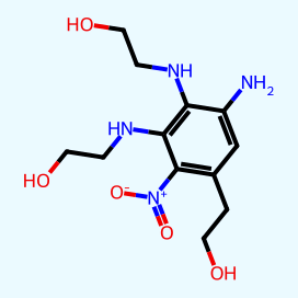 Nc1cc(CCO)c([N+](=O)[O-])c(NCCO)c1NCCO